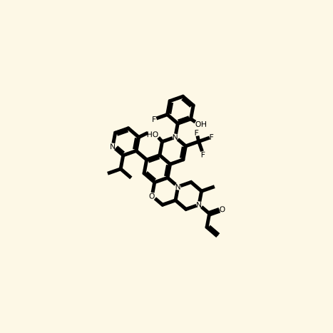 C=CC(=O)N1CC2COc3cc(-c4c(C)ccnc4C(C)C)c4c(c3N2CC1C)C=C(C(F)(F)F)N(c1c(O)cccc1F)C4O